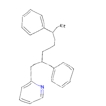 CCC(CCC(Cc1ccccn1)c1ccccc1)c1ccccc1